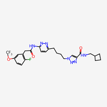 O=C(Cc1cc(OC(F)(F)F)ccc1F)Nc1ccc(CCCCn2cc(C(=O)NCC3CCC3)nn2)nn1